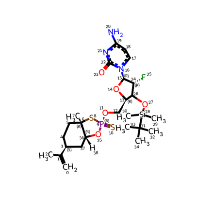 C=C(C)[C@H]1CC[C@@]2(C)S[P@](=S)(OC[C@H]3O[C@@H](n4ccc(N)nc4=O)[C@H](F)C3O[Si](C)(C)C(C)(C)C)O[C@@H]2C1